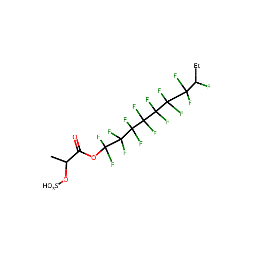 CCC(F)C(F)(F)C(F)(F)C(F)(F)C(F)(F)C(F)(F)C(F)(F)C(F)(F)OC(=O)C(C)OS(=O)(=O)O